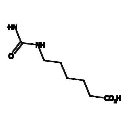 [NH]C(=O)NCCCCCC(=O)O